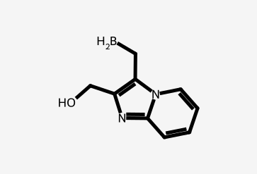 BCc1c(CO)nc2ccccn12